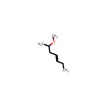 CC/C=C/CC(C)OC